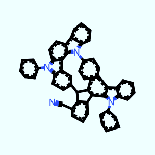 N#Cc1cccc2c1C(c1ccc3c(c1)c1c(ccc4c5ccccc5n(-c5ccccc5)c41)n3-c1ccccc1)c1ccc3c4ccccc4n(-c4ccccc4)c3c1-2